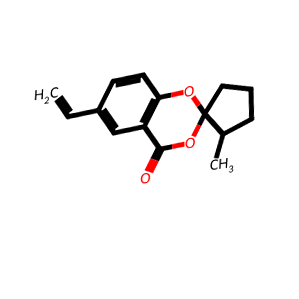 C=Cc1ccc2c(c1)C(=O)OC1(CCCC1C)O2